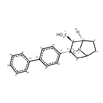 CN1C2CC[C@@H]1[C@H](C(=O)O)[C@@H](c1ccc(-c3ccccc3)cc1)C2